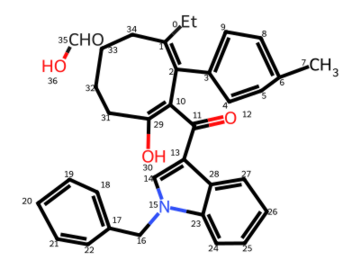 CCC1=C(c2ccc(C)cc2)C(C(=O)c2cn(Cc3ccccc3)c3ccccc23)=C(O)CCCC1.O=CO